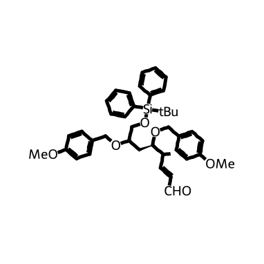 COc1ccc(COC(CO[Si](c2ccccc2)(c2ccccc2)C(C)(C)C)C[C@@H](OCc2ccc(OC)cc2)C(C)C=CC=O)cc1